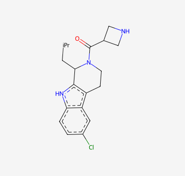 CC(C)CC1c2[nH]c3ccc(Cl)cc3c2CCN1C(=O)C1CNC1